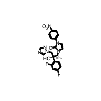 C[C@@H](n1ccn(-c2ccc([N+](=O)[O-])cc2)c1=O)[C@](O)(Cn1cncn1)c1ccc(F)cc1F